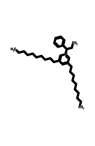 CCCCCCCCCCc1cc(CCCCCCCCCC)c[n+](C(CC)c2ccccc2)c1